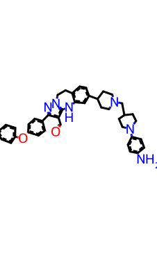 Nc1ccc(N2CCC(CN3CCC(c4ccc5c(c4)Nc4c(C=O)c(-c6ccc(Oc7ccccc7)cc6)nn4CC5)CC3)CC2)cc1